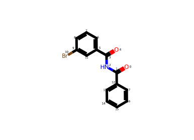 O=C(NC(=O)c1cccc(Br)c1)c1ccccc1